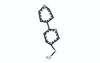 CSc1ccc(-c2ccncc2)nc1